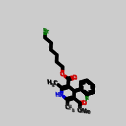 COC(=O)C1=C(C(F)(F)F)NC(C)=C(C(=O)OCCCCCCBr)C1c1ccccc1F